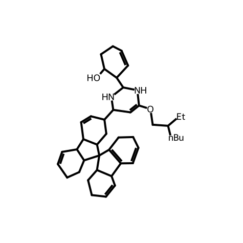 CCCCC(CC)COC1=CC(C2C=CC3C4C=CCCC4C4(C5=C(C=CCC5)C5C=CCCC54)C3C2)NC(C2C=CCCC2O)N1